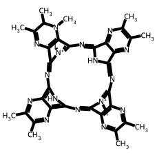 CC1=NC2=C(c3nc4[nH]c(nc5[n+](I)c(nc6[nH]c(nc2[n+]3I)c2nc(C)c(C)nc62)-c2nc(C)c(C)nc2-5)c2nc(C)c(C)nc42)N(C)C1C